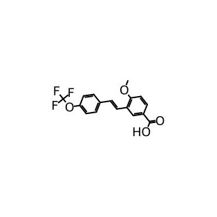 COc1ccc(C(=O)O)cc1C=Cc1ccc(OC(F)(F)F)cc1